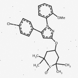 COc1ccccc1-n1nc(OC2CC(C)(C)[S+]([O-])C(C)(C)C2)cc1-c1ccc(Cl)cc1